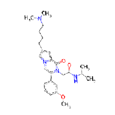 COc1cccc(-c2cn3cc(CCCCN(C)C)cc3c(=O)n2CC(=O)NC(C)C)c1